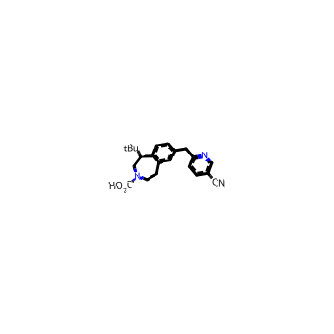 CC(C)(C)C1CN(C(=O)O)CCc2cc(Cc3ccc(C#N)cn3)ccc21